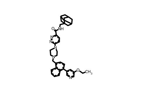 CCOc1cncc(-c2ccc(CN3CCN(c4ccc(C(=O)NCC56CC7CC(CC(C7)C5)C6)nn4)CC3)c3ccccc23)c1